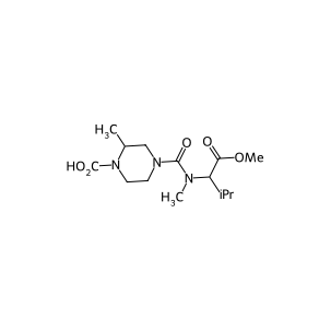 COC(=O)C(C(C)C)N(C)C(=O)N1CCN(C(=O)O)C(C)C1